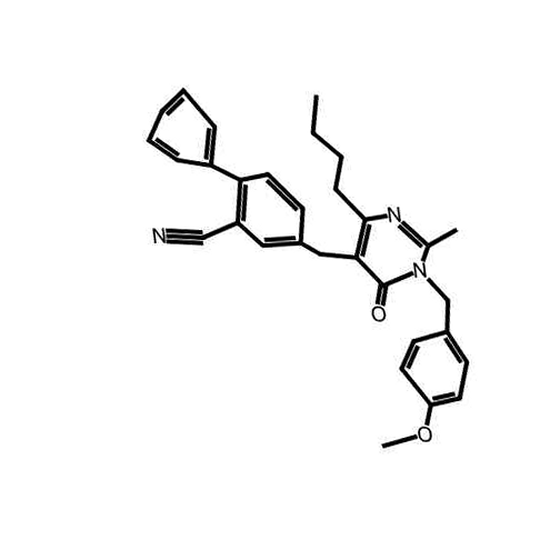 CCCCc1nc(C)n(Cc2ccc(OC)cc2)c(=O)c1Cc1ccc(-c2ccccc2)c(C#N)c1